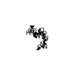 CCOc1cncc(-c2cnc(C(=O)NC3(c4cc(NS(=O)(=O)C5CC5)ccn4)CCOC3)s2)n1